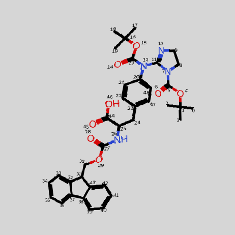 CC(C)(C)OC(=O)N1CCN=C1N(C(=O)OC(C)(C)C)c1ccc(CC(NC(=O)OCC2c3ccccc3-c3ccccc32)C(=O)O)cc1